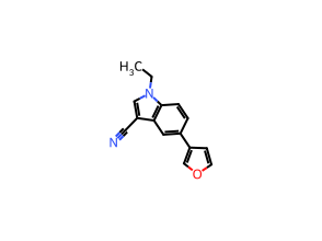 CCn1cc(C#N)c2cc(-c3ccoc3)ccc21